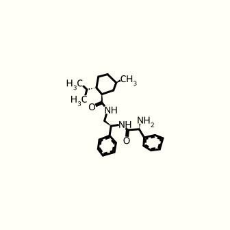 CC(C)[C@@H]1CC[C@@H](C)C[C@H]1C(=O)NC[C@@H](NC(=O)[C@H](N)c1ccccc1)c1ccccc1